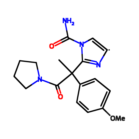 COc1ccc(C(C)(C(=O)N2CCCC2)c2n[c]cn2C(N)=O)cc1